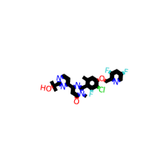 Cc1cc(OCc2ncc(F)cc2F)c(Cl)c(F)c1-c1nc(-c2ccnc(C(C)(C)O)n2)cc(=O)n1C